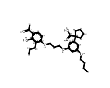 CCCCOc1cc(OCCCOc2ccc(C(C)=O)c(O)c2CCC)cc(C2(C(=O)O)CCCC2)c1